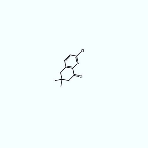 CC1(C)CC(=O)c2nc(Cl)ccc2C1